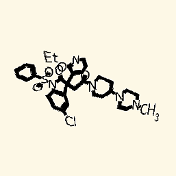 CCOc1ncccc1C1(CC(=O)N2CCC(N3CCN(C)CC3)CC2)C(=O)N(S(=O)(=O)c2ccccc2)c2ccc(Cl)cc21